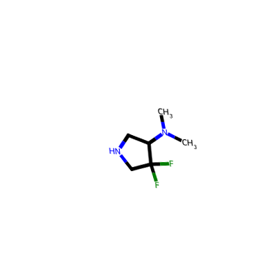 CN(C)C1CNCC1(F)F